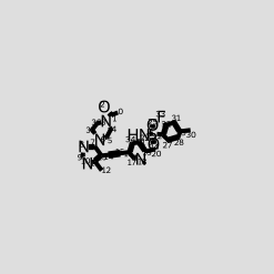 CC(=O)N1CCN(c2ncnc(C)c2C#Cc2cnc(C)c(NS(=O)(=O)c3ccc(C)cc3F)c2)CC1